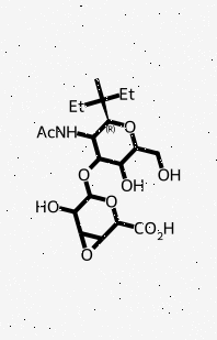 CCC(C)(CC)[C@H]1OC(CO)C(O)C(OC2OC(C(=O)O)C3OC3C2O)C1NC(C)=O